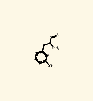 Cc1cccc(CC(N)C=O)c1